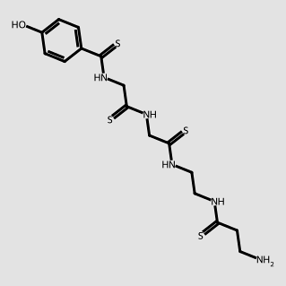 NCCC(=S)NCCNC(=S)CNC(=S)CNC(=S)c1ccc(O)cc1